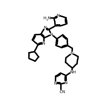 N#Cc1nccc(NC2CCN(Cc3ccc(-n4c(-c5cccnc5N)nc5ccc(C6CCCC6)nc54)cc3)CC2)n1